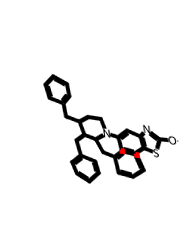 [O]c1nc2cc(N3CCC(Cc4ccccc4)C(Cc4ccccc4)C3Cc3ccccc3)ccc2s1